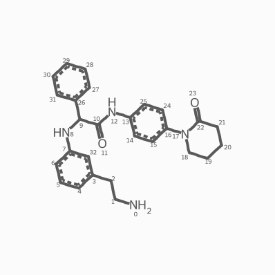 NCCc1cccc(NC(C(=O)Nc2ccc(N3CCCCC3=O)cc2)c2ccccc2)c1